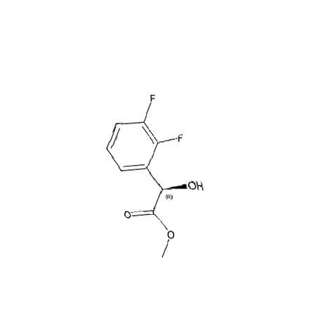 COC(=O)[C@H](O)c1cccc(F)c1F